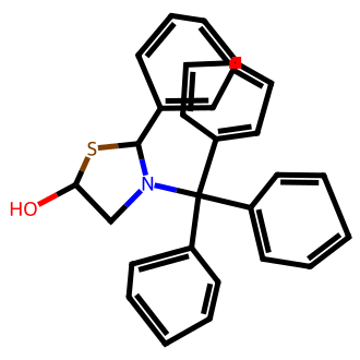 OC1CN(C(c2ccccc2)(c2ccccc2)c2ccccc2)C(c2ccccc2)S1